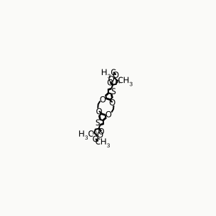 COC(=O)[C@@H](C)CC(=O)c1cc2cc3c(cc2s1)OCCCOc1cc2cc(C(=O)C[C@H](C)C(=O)OC)sc2cc1OCCCO3